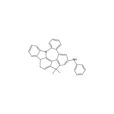 CC1(C)C2=CCC3C4=C2c2c(cc(Nc5ccccc5)cc21)-c1ccccc1N4c1ccccc13